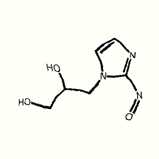 O=Nc1nccn1CC(O)CO